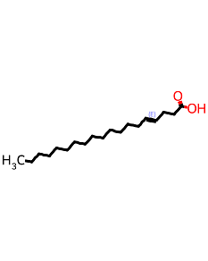 CCCCCCCCCCCCCC/C=C/CCC(=O)O